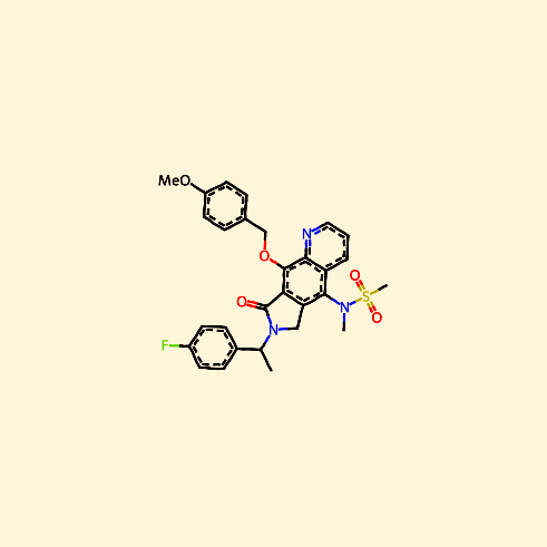 COc1ccc(COc2c3c(c(N(C)S(C)(=O)=O)c4cccnc24)CN(C(C)c2ccc(F)cc2)C3=O)cc1